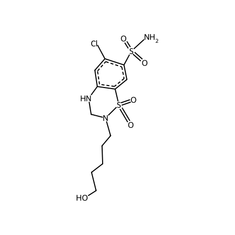 NS(=O)(=O)c1cc2c(cc1Cl)NCN(CCCCCO)S2(=O)=O